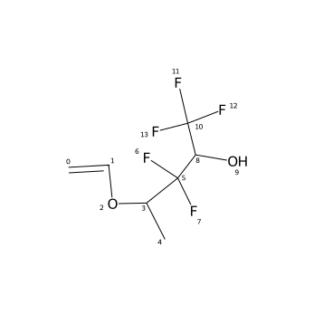 C=COC(C)C(F)(F)C(O)C(F)(F)F